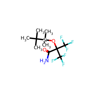 CC(C)(C)[Si](C)(C)OC(C(N)=O)(C(F)(F)F)C(F)(F)F